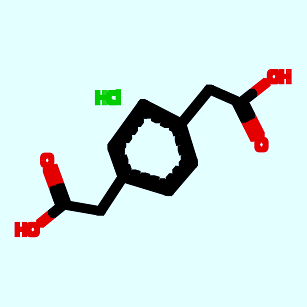 Cl.O=C(O)Cc1ccc(CC(=O)O)cc1